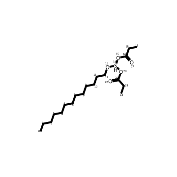 CCCCCCCCCCCCCO[SH](OC(=O)CC)OC(=O)CC